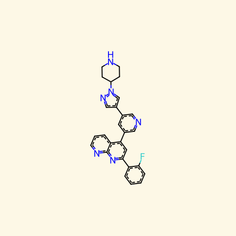 Fc1ccccc1-c1cc(-c2cncc(-c3cnn(C4CCNCC4)c3)c2)c2cccnc2n1